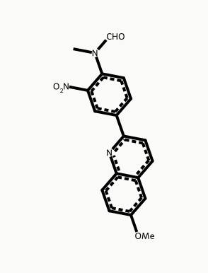 COc1ccc2nc(-c3ccc(N(C)C=O)c([N+](=O)[O-])c3)ccc2c1